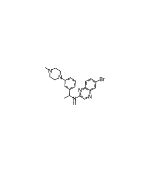 CC(Nc1cnc2cc(Br)ccc2n1)c1cccc(N2CCN(C)CC2)c1